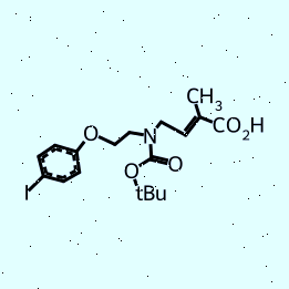 CC(=CCN(CCOc1ccc(I)cc1)C(=O)OC(C)(C)C)C(=O)O